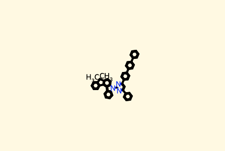 CC1(C)c2ccccc2-c2c1ccc1c2c2ccccc2n1-c1nc(-c2ccccc2)cc(-c2ccc(-c3ccc(-c4ccccc4)cc3)cc2)n1